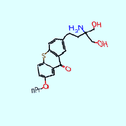 CCCOc1ccc2sc3ccc(CCC(N)(CO)CO)cc3c(=O)c2c1